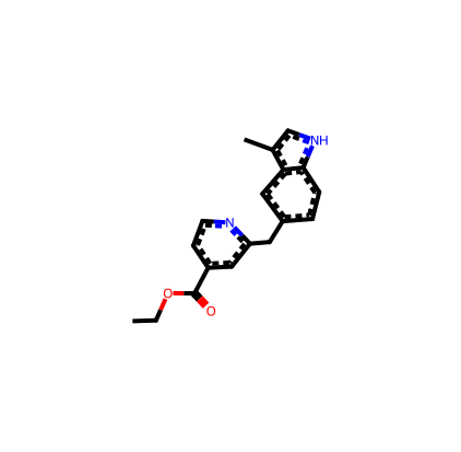 CCOC(=O)c1ccnc(Cc2ccc3[nH]cc(C)c3c2)c1